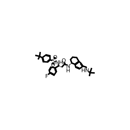 CC(C)(C)NCc1ccc2c(c1)CCC[C@H]2NC(=O)C[C@@H](NS(=O)(=O)c1ccc(C(C)(C)C)cc1)c1ccc(F)cc1